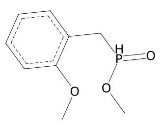 COc1ccccc1C[PH](=O)OC